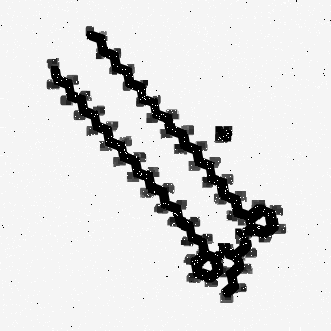 CCCCCCCCCCCCCCCCCCCC=CCCc1ccccc1N=CC(CCCC)=Nc1ccccc1CCC=CCCCCCCCCCCCCCCCCCCC.[Ni]